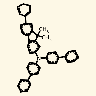 CC1(C)c2cc(C3=CCCC=C3)ccc2-c2ccc(N(c3ccc(-c4ccccc4)cc3)c3ccc(-c4ccccc4)cc3)cc21